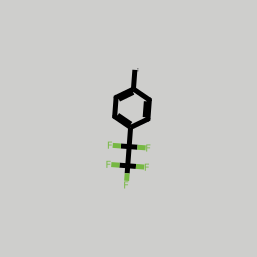 [CH]c1ccc(C(F)(F)C(F)(F)F)cc1